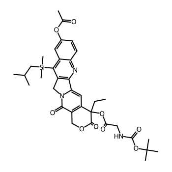 CCC1(OC(=O)CNC(=O)OC(C)(C)C)C(=O)OCc2c1cc1n(c2=O)Cc2c-1nc1ccc(OC(C)=O)cc1c2[Si](C)(C)CC(C)C